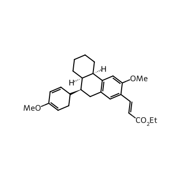 CCOC(=O)/C=C/c1cc2c(cc1OC)[C@@H]1CCCC[C@@H]1[C@H](C1C=CC(OC)=CC1)C2